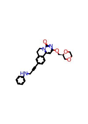 O=c1nc(OC[C@@H]2COCCO2)cc2n1CCc1cc(C#CCNc3ccccc3)ccc1-2